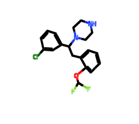 FC(F)Oc1ccccc1CC(c1cccc(Cl)c1)N1CCNCC1